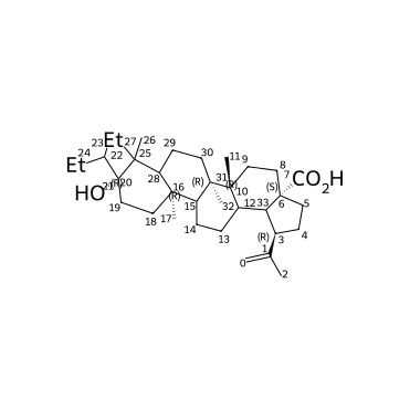 C=C(C)[C@@H]1CC[C@]2(C(=O)O)CC[C@]3(C)C(CCC4[C@@]5(C)CC[C@@](O)(C(CC)CC)C(C)(C)C5CC[C@]43C)C12